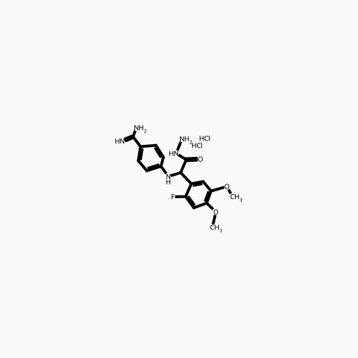 COc1cc(F)c(C(Nc2ccc(C(=N)N)cc2)C(=O)NN)cc1OC.Cl.Cl